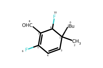 CCC(C)C1(C)C=CC(F)=C(C=O)C1F